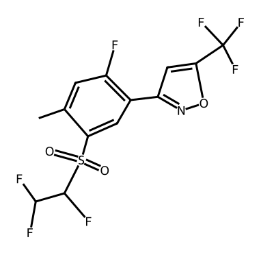 Cc1cc(F)c(-c2cc(C(F)(F)F)on2)cc1S(=O)(=O)C(F)C(F)F